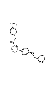 COc1ccc(CNc2cccc(-c3ccc(OCc4ccccc4)cc3)n2)cc1